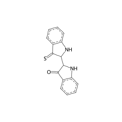 O=C1c2ccccc2NC1C1Nc2ccccc2C1=S